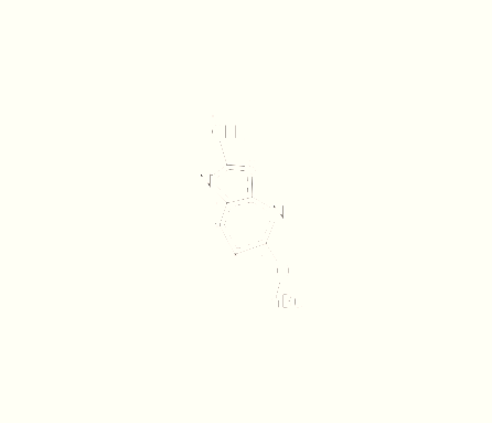 CCCCOc1ccc2nc(C)sc2n1